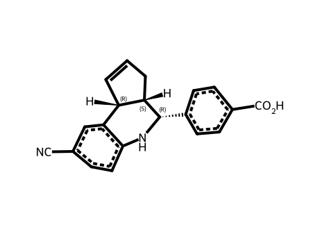 N#Cc1ccc2c(c1)[C@@H]1C=CC[C@@H]1[C@H](c1ccc(C(=O)O)cc1)N2